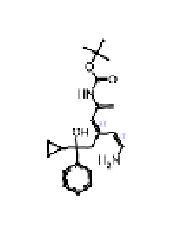 C=C(/C=C(\C=C/N)CC(O)(c1ccccc1)C1CC1)NC(=O)OC(C)(C)C